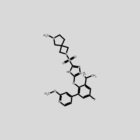 COc1cc(-c2cc(F)cc(C(C)C)c2Oc2nnc(S(=O)(=O)N3CC4(CCN(C)C4)C3)[nH]2)ccn1